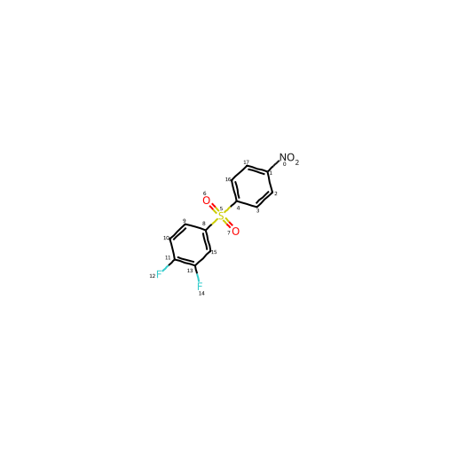 O=[N+]([O-])c1ccc(S(=O)(=O)c2ccc(F)c(F)c2)cc1